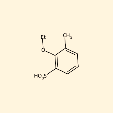 CCOc1c(C)cccc1S(=O)(=O)O